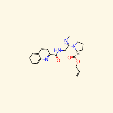 C=CCOC(=O)[C@H]1CCCN1/C(CNC(=O)c1ccc2c(n1)=CCCC=2)=N\C